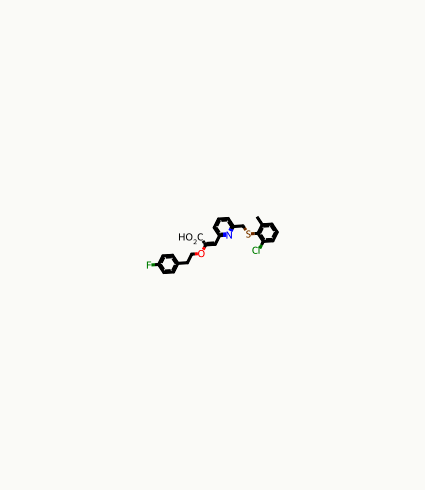 Cc1cccc(Cl)c1SCc1cccc(/C=C(/OCCc2ccc(F)cc2)C(=O)O)n1